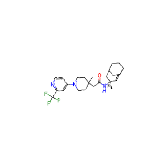 CC1(CC(=O)N[C@@]2(C)C=C3CCCC(C3)C2)CCN(c2ccnc(C(F)(F)F)c2)CC1